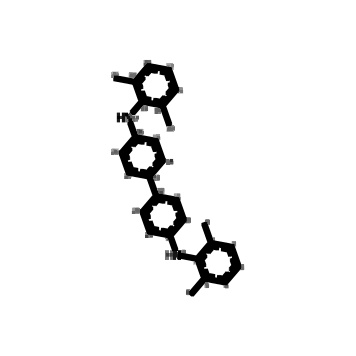 Cc1cccc(C)c1Nc1ccc(-c2ccc(Nc3c(C)cccc3C)cc2)cc1